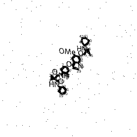 COc1cc2c(Oc3ccc(NC(=O)C4(C(=O)Nc5ccccc5)CC4)c(F)c3)ccnc2cc1OCC1(NC2CCCCC2)CC1